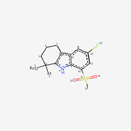 CCC1(OC(C)=O)CCCc2c1[nH]c1c(S(C)(=O)=O)cc(F)cc21